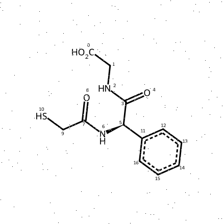 O=C(O)CNC(=O)[C@H](NC(=O)CS)c1ccccc1